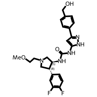 COCCN1C[C@@H](NC(=O)Nc2cc(-c3ccc(CO)cc3)n[nH]2)[C@H](c2ccc(F)c(F)c2)C1